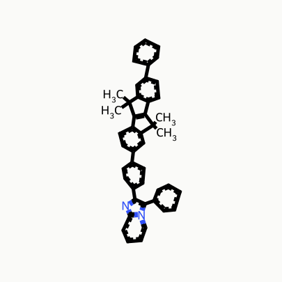 CC1(C)C2=C(c3ccc(-c4ccccc4)cc31)C(C)(C)c1cc(-c3ccc(-c4nc5ccccn5c4-c4ccccc4)cc3)ccc12